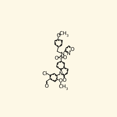 COc1ccc(CN(c2ccon2)S(=O)(=O)c2ccc3c(ccc(=O)n3-c3cc(Cl)c(C=O)cc3OC)c2)cc1